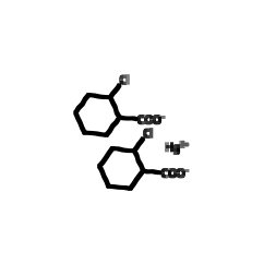 O=C([O-])C1CCCCC1Cl.O=C([O-])C1CCCCC1Cl.[Hg+2]